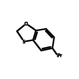 CC(C)c1ccc2c(c1)SCO2